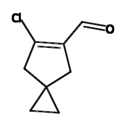 O=CC1=C(Cl)CC2(CC2)C1